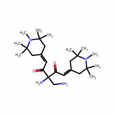 CN1C(C)(C)CC(=CC(=O)C(N)(CN)C(=O)C=C2CC(C)(C)N(C)C(C)(C)C2)CC1(C)C